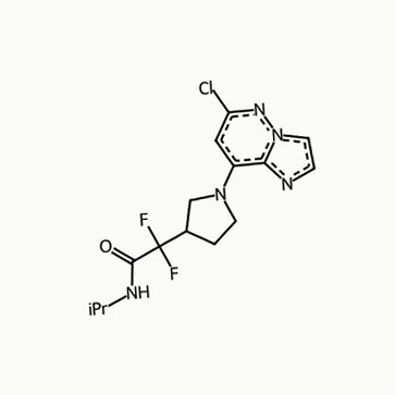 CC(C)NC(=O)C(F)(F)C1CCN(c2cc(Cl)nn3ccnc23)C1